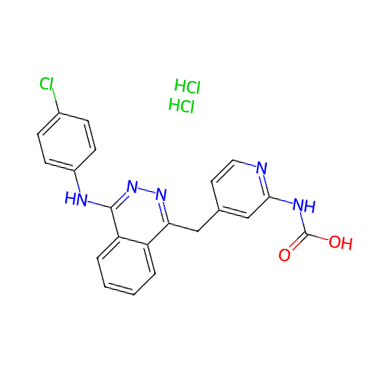 Cl.Cl.O=C(O)Nc1cc(Cc2nnc(Nc3ccc(Cl)cc3)c3ccccc23)ccn1